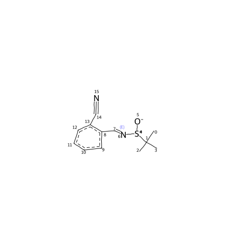 CC(C)(C)[S+]([O-])/N=C/c1ccccc1C#N